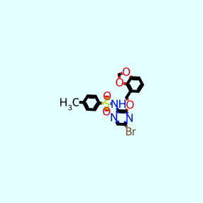 Cc1ccc(S(=O)(=O)Nc2ncc(Br)nc2OCc2cccc3c2OCO3)cc1